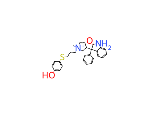 C[N+]1(CCCSc2ccc(O)cc2)CCC(C(C(N)=O)(c2ccccc2)c2ccccc2)C1